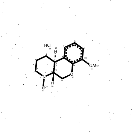 CCCN1CCC[C@H]2c3cccc(OC)c3OC[C@@H]21.Cl